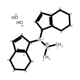 C[SiH](C)[Zr]([CH]1C=CC2=C1CCCC2)[CH]1C=CC2=C1CCCC2.Cl.Cl